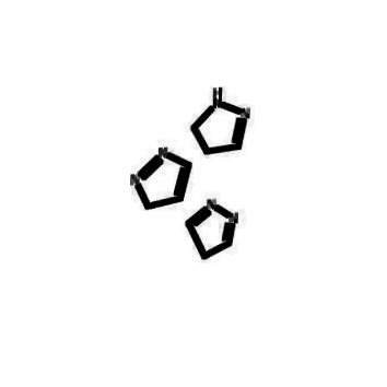 C1=CN=NC1.C1=NN=CC1.C1=NNCC1